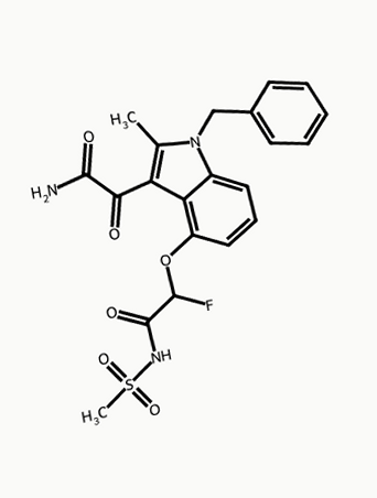 Cc1c(C(=O)C(N)=O)c2c(OC(F)C(=O)NS(C)(=O)=O)cccc2n1Cc1ccccc1